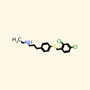 CCNCCCc1ccc(SCc2ccc(Cl)cc2Cl)cc1